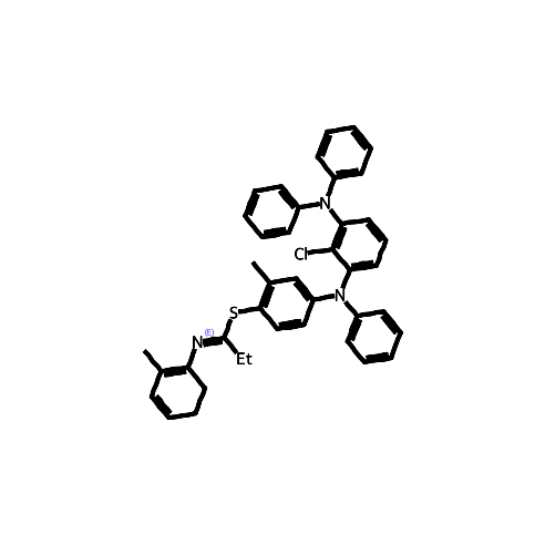 CC/C(=N\C1=C(C)C=CCC1)Sc1ccc(N(c2ccccc2)c2cccc(N(c3ccccc3)c3ccccc3)c2Cl)cc1C